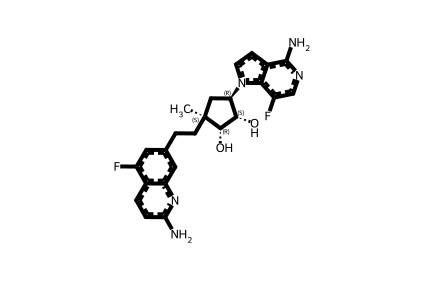 C[C@]1(CCc2cc(F)c3ccc(N)nc3c2)C[C@@H](n2ccc3c(N)ncc(F)c32)[C@H](O)[C@@H]1O